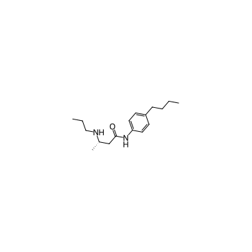 CCCCc1ccc(NC(=O)C[C@H](C)NCCC)cc1